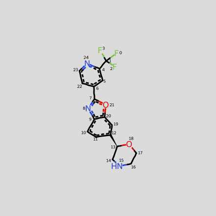 FC(F)(F)c1cc(-c2nc3ccc([C@@H]4CNCCO4)cc3o2)ccn1